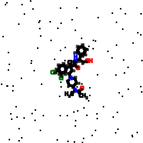 CC(=O)N(C)C1CCN(CCC(C)(C(=O)N[C@H](CO)c2ccccc2)c2ccc(Cl)c(Cl)c2)CC1